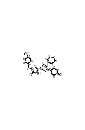 O=c1[nH]c(N2C[C@H](c3ccccc3)C(c3ccc(Cl)cc3)=N2)nn1Cc1ccc(Cl)cc1